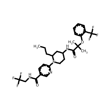 CCCC1CC(NC(=O)C(C)(C)Oc2ccccc2C(F)(F)F)CCN1c1ccc(C(=O)NCC(F)(F)F)cn1